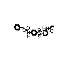 C=CC(=O)N[C@H]1CCCN(S(=O)(=O)c2ccc(NC(=O)OCc3ccccc3)cc2)C1